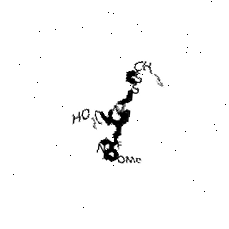 COc1ccc2nccc([C@@H](F)CCC3CCN(CCCSc4ccc(C)s4)CC3CCC(=O)O)c2c1